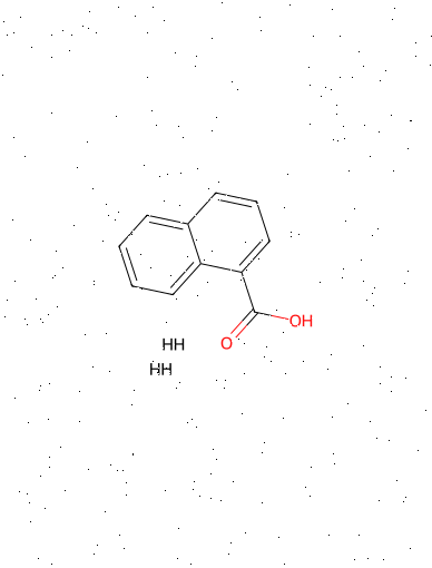 O=C(O)c1cccc2ccccc12.[HH].[HH]